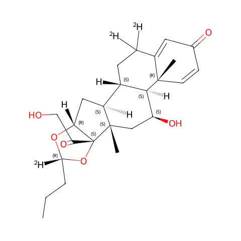 [2H]C1([2H])C[C@@H]2[C@H]([C@@H](O)C[C@@]3(C)[C@H]2C[C@H]2O[C@@]([2H])(CCC)O[C@]23C(=O)CO)[C@@]2(C)C=CC(=O)C=C12